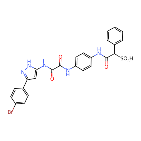 O=C(Nc1ccc(NC(=O)C(c2ccccc2)S(=O)(=O)O)cc1)C(=O)Nc1cc(-c2ccc(Br)cc2)n[nH]1